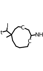 CCC(I)C1(C)CCCCCC(N)CCCC1